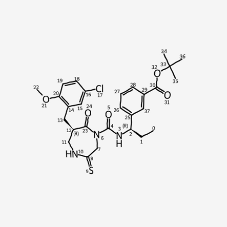 CC[C@@H](NC(=O)N1CC(=S)NC[C@@H](Cc2cc(Cl)ccc2OC)C1=O)c1cccc(C(=O)OC(C)(C)C)c1